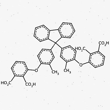 Cc1cc(C2(c3ccc(Oc4cccc(C(=O)O)c4C(=O)O)c(C)c3)c3ccccc3-c3ccccc32)ccc1Oc1cccc(C(=O)O)c1C(=O)O